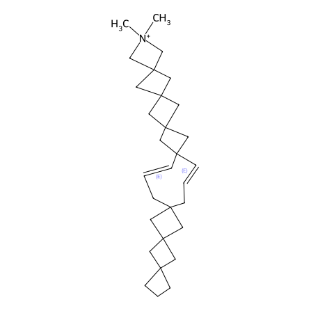 C[N+]1(C)CC2(CC3(CC4(CC5(/C=C/CC6(C/C=C/5)CC5(C6)CC6(CCC6)C5)C4)C3)C2)C1